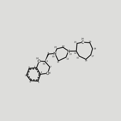 c1ccc2c(c1)OC[C@H](CN1CCN(C3CCCCCCC3)CC1)O2